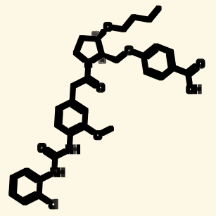 CCCCO[C@@H]1CCN(C(=O)Cc2ccc(NC(=O)Nc3ccccc3Cl)c(OC)c2)[C@@H]1COc1ccc(C(=O)O)cc1